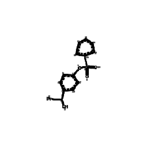 CC(C)C(O)c1ccc(OS(=O)(=O)c2ccccc2)cc1